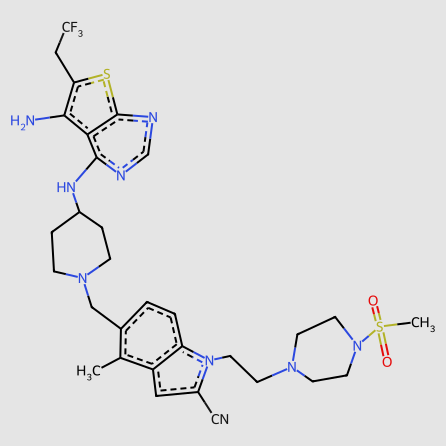 Cc1c(CN2CCC(Nc3ncnc4sc(CC(F)(F)F)c(N)c34)CC2)ccc2c1cc(C#N)n2CCN1CCN(S(C)(=O)=O)CC1